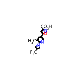 Cc1cc(-c2cc(C(=O)O)no2)cnc1N1CC(C(F)(F)F)C1